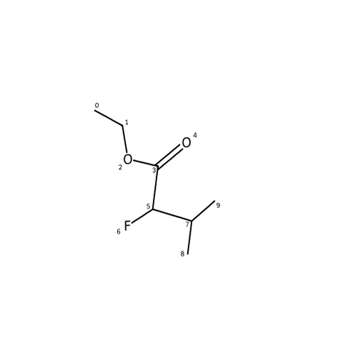 CCOC(=O)C(F)C(C)C